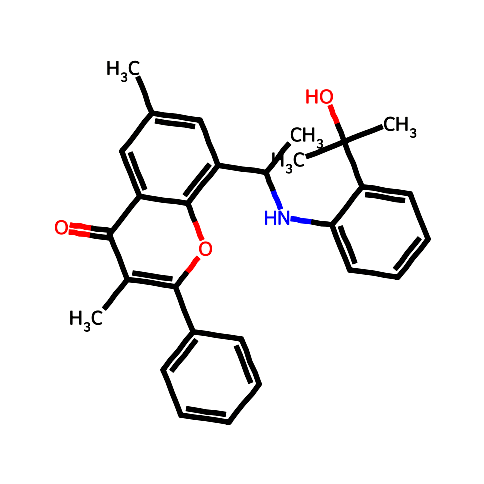 Cc1cc(C(C)Nc2ccccc2C(C)(C)O)c2oc(-c3ccccc3)c(C)c(=O)c2c1